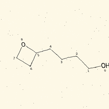 OCCCCC1CCO1